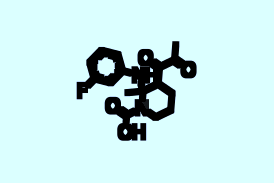 CC(=O)C(=O)C1CCCN(C(=O)O)C1(C)Nc1cccc(F)c1